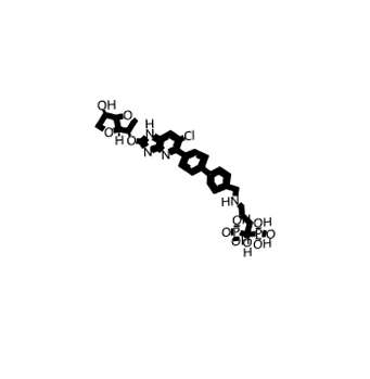 O=P(O)(O)C(O)(CCCNCc1ccc(-c2ccc(-c3nc4nc(O[C@@H]5COC6[C@H](O)CO[C@@H]65)[nH]c4cc3Cl)cc2)cc1)P(=O)(O)O